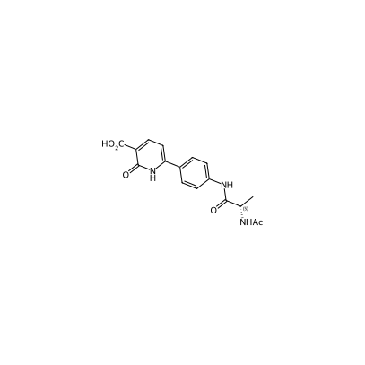 CC(=O)N[C@@H](C)C(=O)Nc1ccc(-c2ccc(C(=O)O)c(=O)[nH]2)cc1